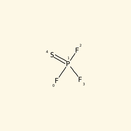 FP(F)(F)=S